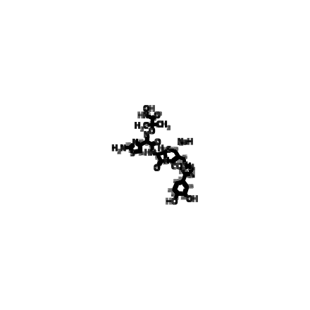 CC(C)(O/N=C(\C(=O)N[C@@H]1C(=O)N2C(C(=O)O)=C(Cn3nnc(-c4ccc(O)c(O)c4)n3)CS[C@H]12)c1csc(N)n1)C(=O)NO.[NaH]